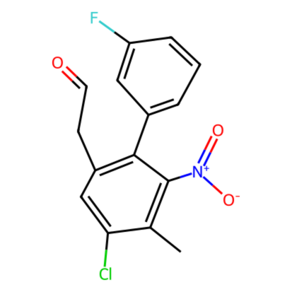 Cc1c(Cl)cc(CC=O)c(-c2cccc(F)c2)c1[N+](=O)[O-]